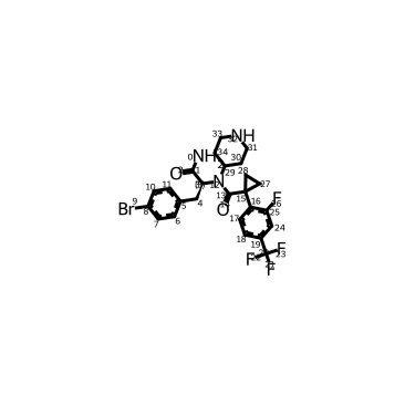 NC(=O)[C@H](Cc1ccc(Br)cc1)N(C(=O)C1(c2ccc(C(F)(F)F)cc2F)CC1)C1CCNCC1